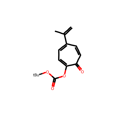 C=C(C)c1ccc(OC(=O)OC(C)(C)C)c(=O)cc1